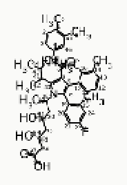 Cc1ccc(NC(=O)c2c(-c3cccc(C)c3C)c(-c3ccc(F)cc3C)n(C(C)C[C@@H](O)C[C@@H](O)CC(=O)O)c2C(C)C(C)C)cc1C